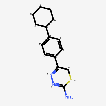 NC1=NN=C(c2ccc(C3CCCCC3)cc2)CS1